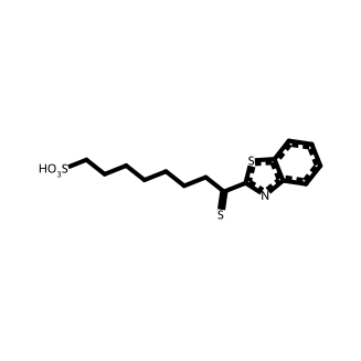 O=S(=O)(O)CCCCCCCC(=S)c1nc2ccccc2s1